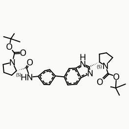 CC(C)(C)OC(=O)N1CCC[C@H]1C(=O)Nc1ccc(-c2ccc3nc([C@@H]4CCCN4C(=O)OC(C)(C)C)[nH]c3c2)cc1